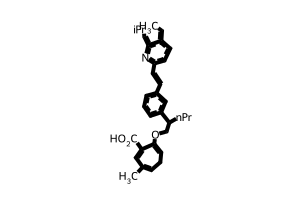 C/C=c1/ccc(/C=C/c2cccc(C(CCC)COC3=CCC=C(C)C=C3C(=O)O)c2)n/c1=C/C(C)C